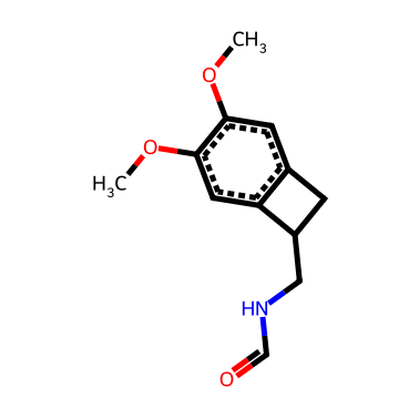 COc1cc2c(cc1OC)C(CNC=O)C2